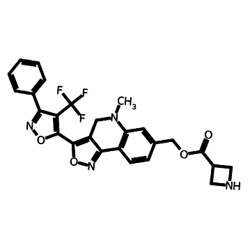 CN1Cc2c(noc2-c2onc(-c3ccccc3)c2C(F)(F)F)-c2ccc(COC(=O)C3CNC3)cc21